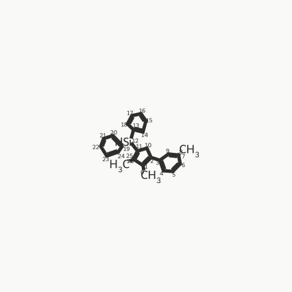 CC1=C(c2cccc(C)c2)CC([SiH](c2ccccc2)c2ccccc2)=C1C